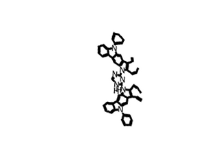 C#CC1=C(/C=C\C)N(C2N=C(n3c(/C=C\C)c(C=C)c4cc5c(cc43)c3ccccc3n5C3=CCCC=C3)N=CN2)[C@H]2C=c3c(n(-c4ccccc4)c4ccccc34)=CC12